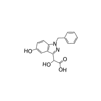 O=C(O)C(O)c1nn(Cc2ccccc2)c2ccc(O)cc12